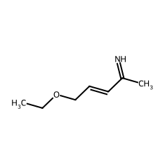 CCOC/C=C/C(C)=N